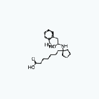 O=C(O)CCCCCCC1(NC(O)Cc2ccccc2O)CCCC1